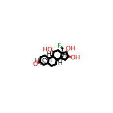 C[C@]12CCC(=O)CC1CC[C@H]1[C@@H]3CC(O)C(O)[C@@]3(CF)CC(O)[C@@H]12